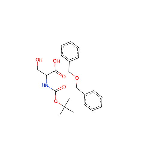 CC(C)(C)OC(=O)NC(CO)C(=O)O.c1ccc(COCc2ccccc2)cc1